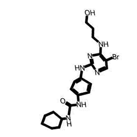 O=C(Nc1ccc(Nc2ncc(Br)c(NCCCO)n2)cc1)NC1CCCCC1